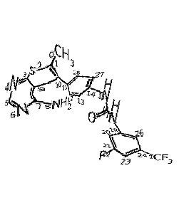 Cc1sc2ncnc(N)c2c1-c1ccc(NC(=O)Nc2cc(F)cc(C(F)(F)F)c2)cc1